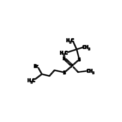 CCP(=S)(SCCC(C)Br)SC(C)(C)C